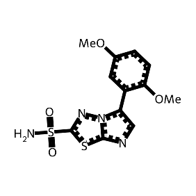 COc1ccc(OC)c(-c2cnc3sc(S(N)(=O)=O)nn23)c1